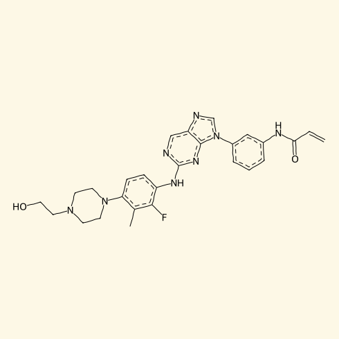 C=CC(=O)Nc1cccc(-n2cnc3cnc(Nc4ccc(N5CCN(CCO)CC5)c(C)c4F)nc32)c1